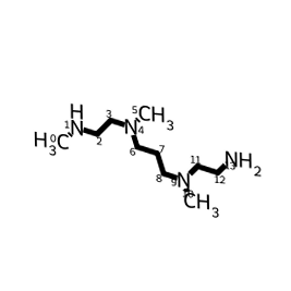 CNCCN(C)CCCN(C)CCN